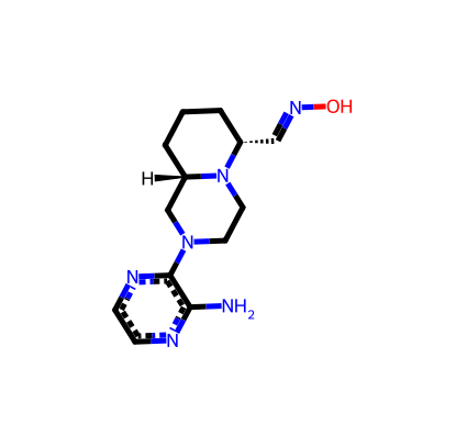 Nc1nccnc1N1CCN2[C@@H](CCC[C@@H]2/C=N/O)C1